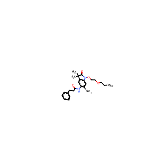 COCCOCCON1C(=O)C(C)(C)c2cc(NC(=O)CCc3ccccc3)c([N+](=O)[O-])cc21